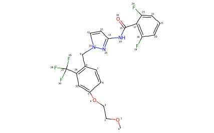 COCCOc1ccc(Cn2ccc(NC(=O)c3c(F)cccc3F)n2)c(C(F)(F)F)c1